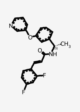 C[C@H](NC(=O)C=Cc1ccc(F)cc1F)c1cccc(Oc2cccnc2)c1